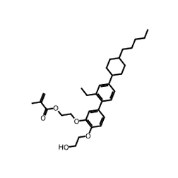 C=C(C)C(=O)OCCOc1cc(-c2ccc(C3CCC(CCCCC)CC3)cc2CC)ccc1OCCO